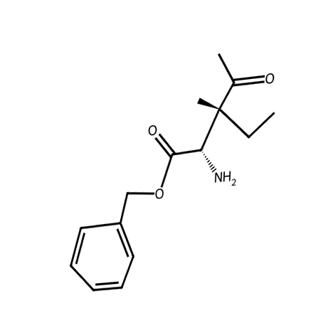 CC[C@@](C)(C(C)=O)[C@H](N)C(=O)OCc1ccccc1